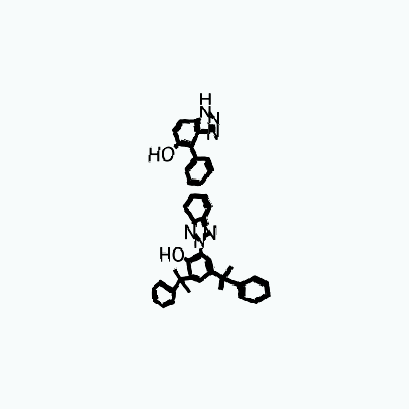 CC(C)(c1ccccc1)c1cc(-n2nc3ccccc3n2)c(O)c(C(C)(C)c2ccccc2)c1.Oc1ccc2[nH]nnc2c1-c1ccccc1